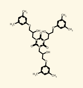 Cc1cc(C)cc(OCC(O)Cn2c(=O)n(CC(O)COc3cc(C)cc(C)c3)c(=O)n(CC(O)COc3cc(C)cc(C)c3)c2=O)c1